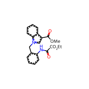 CCOC(=O)C(=O)Nc1ccccc1Cn1cc(C(=O)OC)c2ccccc21